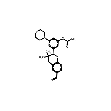 CC1(C)Cc2cc([C]=O)ccc2NC1c1cc(OC(N)=O)cc(N2CCOCC2)c1